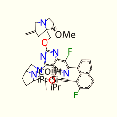 C=C1CN2CC[C@@H](OC)C2(COc2nc3c4c(nc(-c5cccc6ccc(F)c(C#C[Si](C(C)C)(C(C)C)C(C)C)c56)c(F)c4n2)OC(C)C2C4CCC(CN32)N4C(=O)O)C1